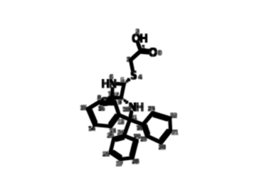 O=C(O)CS[C@H]1NC(=O)[C@H]1NC(c1ccccc1)(c1ccccc1)c1ccccc1